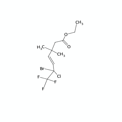 CCOC(=O)CC(C)(C)C=CC(Cl)(Br)C(F)(F)F